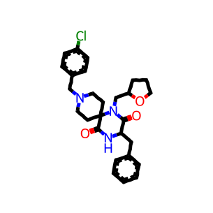 O=C1C(Cc2ccccc2)NC(=O)C2(CCN(Cc3ccc(Cl)cc3)CC2)N1CC1CCCO1